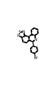 Brc1ccc(-c2nc3ccccc3c3c2ccc2nsnc23)cc1